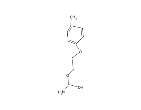 Cc1ccc(OCCOC(N)O)cc1